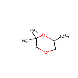 [CH2]C1COCC(C)(C)O1